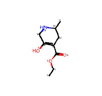 CCOC(=O)C1=C(O)CNC(C)C1